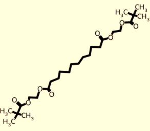 CC(C)(C)C(=O)OCCOC(=O)CCCCCCCCCCC(=O)OCCOC(=O)C(C)(C)C